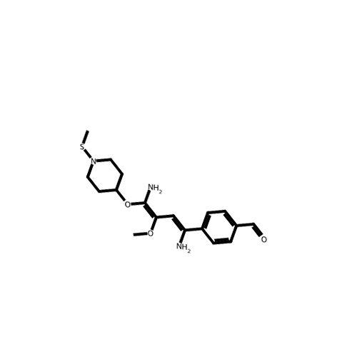 COC(/C=C(\N)c1ccc(C=O)cc1)=C(/N)OC1CCN(SC)CC1